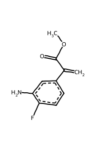 C=C(C(=O)OC)c1ccc(F)c(N)c1